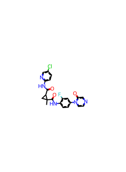 CC1(C(=O)Nc2ccc(-n3ccncc3=O)cc2F)CC1C(=O)Nc1ccc(Cl)cn1